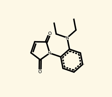 CCN(CC)c1c[c]ccc1N1C(=O)C=CC1=O